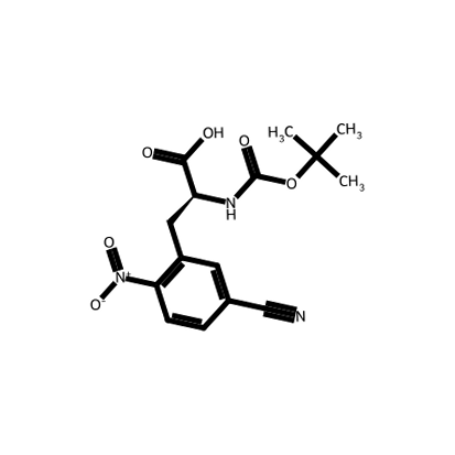 CC(C)(C)OC(=O)N[C@@H](Cc1cc(C#N)ccc1[N+](=O)[O-])C(=O)O